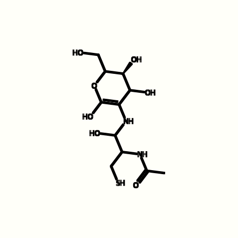 CC(=O)NC(CS)C(O)NC1=C(O)OC(CO)[C@@H](O)C1O